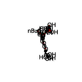 C=CCCC1C(CCCC)[C@H]1COC(=O)N[C@@H](Cc1cn(CCOCCOCCOCCOc2ccc(CCOC3O[C@H](CO)[C@@H](O)[C@H](O)[C@H]3O)cc2)nn1)C(=O)NCC(=O)Nc1ccc2c(c1)C(=O)OC21c2ccc(O)cc2Oc2cc(O)ccc21